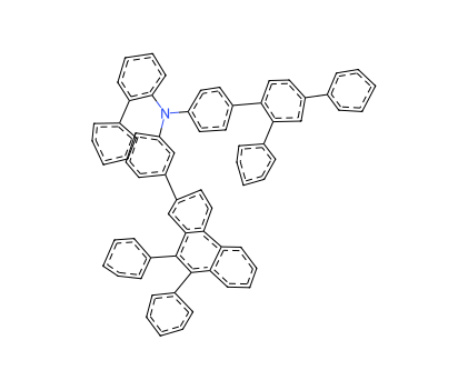 c1ccc(-c2ccc(-c3ccc(N(c4cccc(-c5ccc6c(c5)c(-c5ccccc5)c(-c5ccccc5)c5ccccc56)c4)c4ccccc4-c4ccccc4)cc3)c(-c3ccccc3)c2)cc1